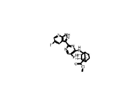 COC(=O)[C@H]1C2CCC(CC2)[C@@H]1Nc1nc(-c2n[nH]c3ncc(F)cc23)ncc1F